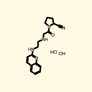 Cl.Cl.N#CC1CCCN1C(=O)CNCCNc1ccc2ccccc2n1